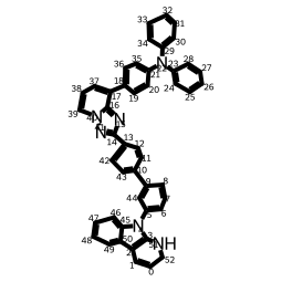 C1=Cc2c(n(-c3cccc(-c4ccc(-c5nc6c(-c7ccc(N(c8ccccc8)c8ccccc8)cc7)cccn6n5)cc4)c3)c3ccccc23)NC1